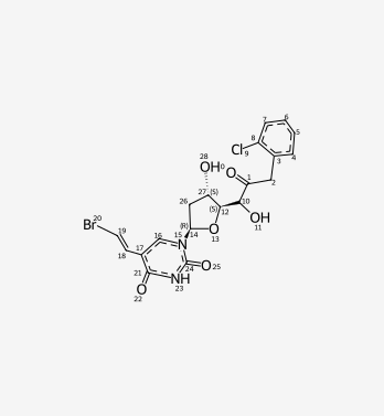 O=C(Cc1ccccc1Cl)C(O)[C@H]1O[C@@H](n2cc(C=CBr)c(=O)[nH]c2=O)C[C@@H]1O